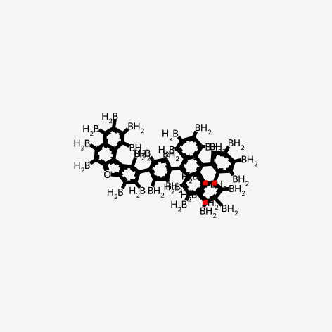 Bc1c(B)c(B)c(-c2c(B)c(B)c(B)c(B)c2-c2c3c(B)c(B)c(B)c(B)c3c(-c3c(B)c(B)c(-c4c(B)c(B)c5oc6c(B)c(B)c7c(B)c(B)c(B)c(B)c7c6c5c4B)c(B)c3B)c3c(B)c(B)c(B)c(B)c23)c(B)c1B